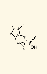 CC1CCCN1CC1(C(=O)O)CC1